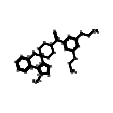 CCOc1cc(OCC)cc(C(=O)N2CCC3(CC2)Oc2ccccc2-c2c3cnn2C)c1